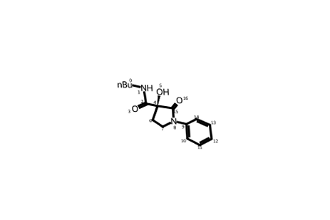 CCCCNC(=O)[C@@]1(O)CCN(c2ccccc2)C1=O